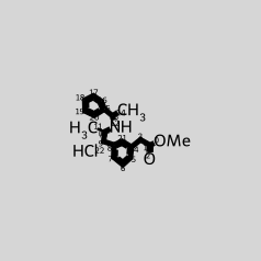 COC(=O)Cc1cccc(C[C@@H](C)NC(C)c2ccccc2)c1.Cl